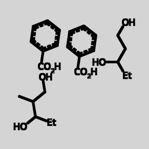 CCC(O)C(C)CO.CCC(O)CCO.O=C(O)c1ccccc1.O=C(O)c1ccccc1